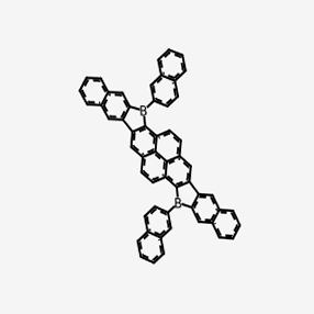 c1ccc2cc(B3c4cc5ccccc5cc4-c4cc5ccc6c7c(cc8ccc(c43)c5c86)-c3cc4ccccc4cc3B7c3ccc4ccccc4c3)ccc2c1